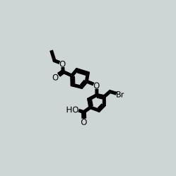 CCOC(=O)c1ccc(Oc2cc(C(=O)O)ccc2CBr)cc1